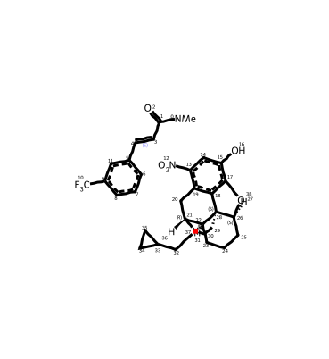 CNC(=O)/C=C/c1cccc(C(F)(F)F)c1.O=[N+]([O-])c1cc(O)c2c3c1C[C@@H]1[C@@H]4CCC[C@H](O2)[C@]34CCN1CC1CC1